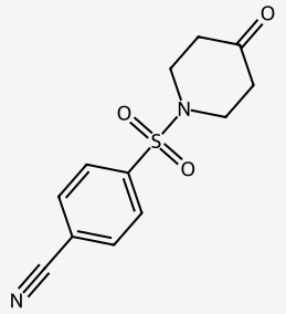 N#Cc1ccc(S(=O)(=O)N2CCC(=O)CC2)cc1